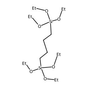 CCO[Si](CCCC[Si](OCC)(OCC)OCC)(OCC)OCC